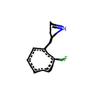 Fc1ccccc1C1C=N1